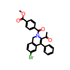 COC(=O)c1ccc(C(=O)N2Cc3ccc(Br)cc3C(c3ccccc3)=C2C(C)=O)cc1